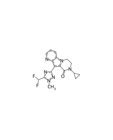 Cn1nc(-c2c3n(c4cccnc24)CCN(C2CC2)C3=O)nc1C(F)F